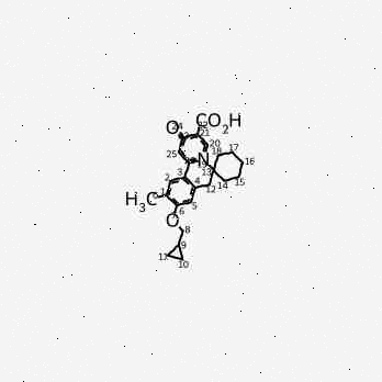 Cc1cc2c(cc1OCC1CC1)CC1(CCCCC1)n1cc(C(=O)O)c(=O)cc1-2